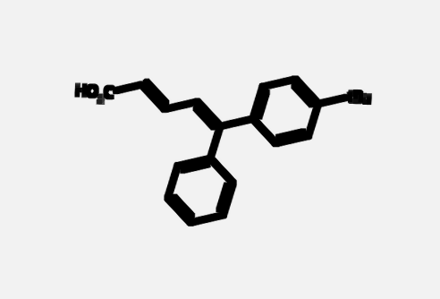 CC(C)(C)c1ccc(C(=CC=CC(=O)O)c2ccccc2)cc1